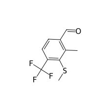 CSc1c(C(F)(F)F)ccc(C=O)c1C